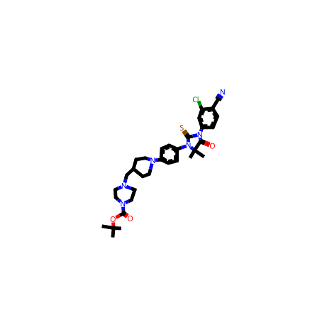 CC(C)(C)OC(=O)N1CCN(CC2CCN(c3ccc(N4C(=S)N(c5ccc(C#N)c(Cl)c5)C(=O)C4(C)C)cc3)CC2)CC1